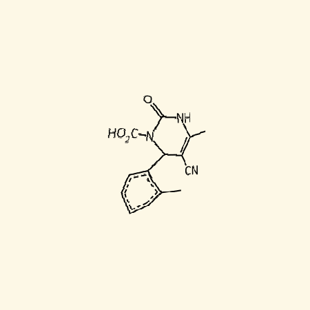 CC1=C(C#N)C(c2ccccc2C)N(C(=O)O)C(=O)N1